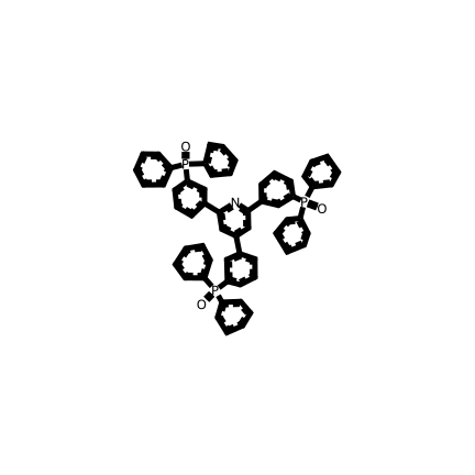 O=P(c1ccccc1)(c1ccccc1)c1cccc(-c2cc(-c3cccc(P(=O)(c4ccccc4)c4ccccc4)c3)nc(-c3cccc(P(=O)(c4ccccc4)c4ccccc4)c3)c2)c1